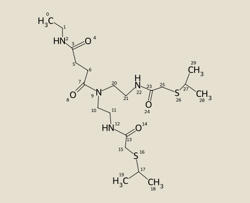 CCNC(=O)CCC(=O)N(CCNC(=O)CSC(C)C)CCNC(=O)CSC(C)C